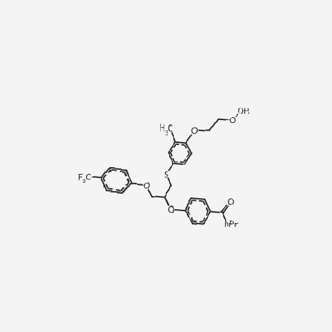 CCCC(=O)c1ccc(OC(COc2ccc(C(F)(F)F)cc2)CSc2ccc(OCCOO)c(C)c2)cc1